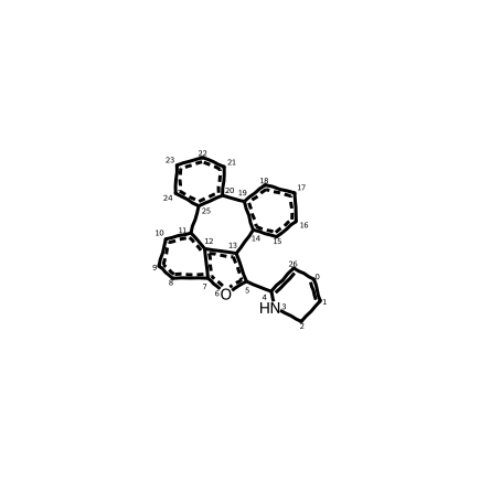 C1=CCNC(c2oc3cccc4c3c2-c2ccccc2-c2ccccc2-4)=C1